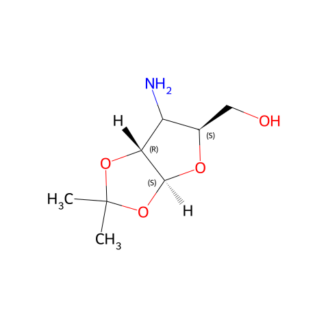 CC1(C)O[C@@H]2O[C@H](CO)C(N)[C@H]2O1